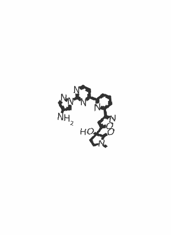 CN1CCC(O)(c2cc(-c3cccc(-c4ccnc(-n5cc(N)cn5)n4)n3)no2)C1=O